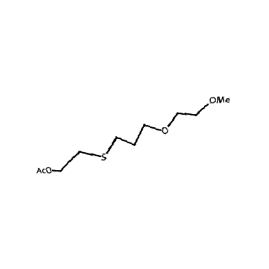 COCCOCCCSCCOC(C)=O